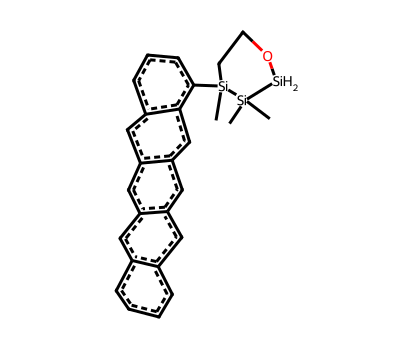 C[Si]1(C)[SiH2]OCC[Si]1(C)c1cccc2cc3cc4cc5ccccc5cc4cc3cc12